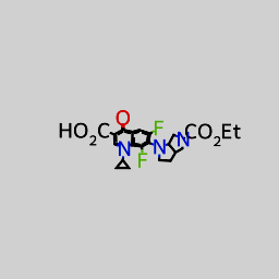 CCOC(=O)N1CC2CCN(c3c(F)cc4c(=O)c(C(=O)O)cn(C5CC5)c4c3F)C2C1